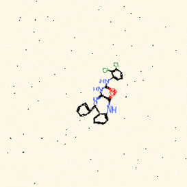 O=C(Nc1cccc(Cl)c1Cl)NC1N=C(c2ccccc2)c2ccccc2NC1=O